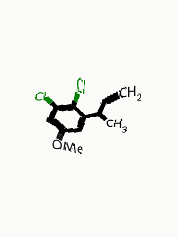 C=C[C](C)c1cc(OC)cc(Cl)c1Cl